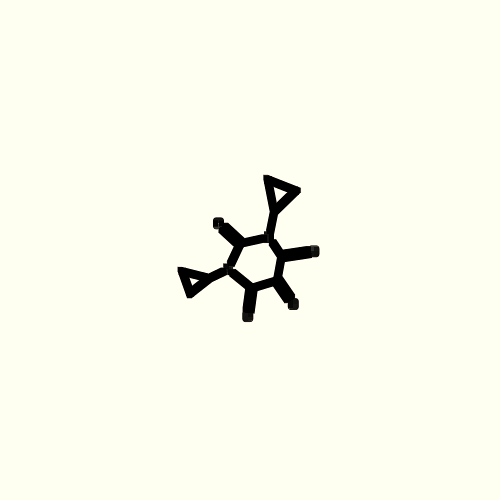 O=C1C(=O)N(C2CC2)C(=O)N(C2CC2)C1=O